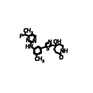 Cc1cc(Nc2nccc(C(C)F)n2)cc(-c2cnc(C3(O)CCNC(=O)CC3)s2)c1